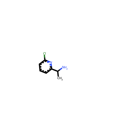 CC(N)c1cccc(Cl)n1